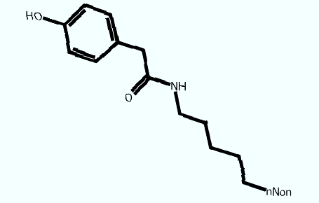 CCCCCCCCCCCCCCNC(=O)Cc1ccc(O)cc1